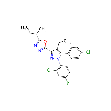 CCc1c(-c2nnc(C(C)CC)o2)nn(-c2ccc(Cl)cc2Cl)c1-c1ccc(Cl)cc1